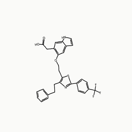 O=C(O)Cc1cc2[nH]ccc2cc1OCCc1sc(-c2ccc(C(F)(F)F)cc2)nc1CCc1ccccc1